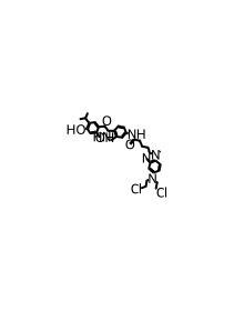 CC(C)c1cc(C(=O)C2NCc3cc(NC(=O)CCCc4nc5cc(N(CCCl)CCCl)ccc5n4C)ccc32)c(O)cc1O